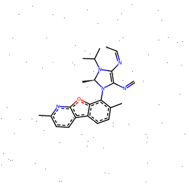 C=NC1=C(/N=C\C)N(C(C)C)[C@H](C)N1c1c(C)ccc2c1oc1nc(C)ccc12